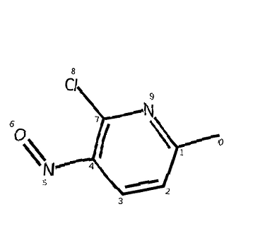 Cc1ccc(N=O)c(Cl)n1